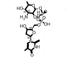 C=C1NC(=O)C(C)=CN1[C@H]1CC(O)[C@@H](COP(=O)(O)OP(=O)(O)O[C@H]2OC(C)[C@@H](O)[C@H](N)C2O)O1